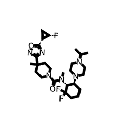 CC(C)N1CCN([C@H]2CCCC(F)(F)[C@@H]2N(C)C(=O)N2CCC(C)(c3noc([C@@H]4C[C@@H]4F)n3)CC2)CC1